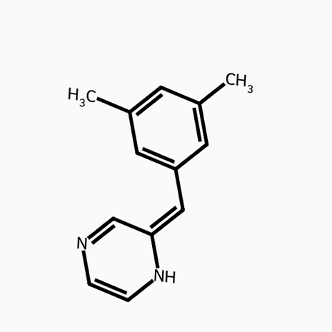 Cc1cc(C)cc(C=C2C=NC=CN2)c1